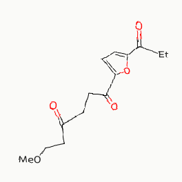 CCC(=O)c1ccc(C(=O)CCC(=O)CCOC)o1